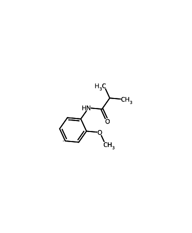 COc1c[c]ccc1NC(=O)C(C)C